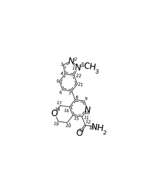 Cn1ncc2ccc(-c3cnc(C(N)=O)c4c3COC[CH]4)cc21